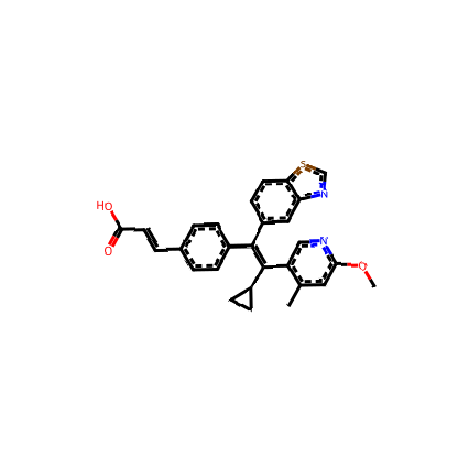 COc1cc(C)c(C(=C(c2ccc(C=CC(=O)O)cc2)c2ccc3scnc3c2)C2CC2)cn1